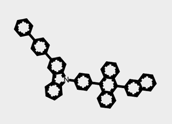 c1ccc(-c2ccc(-c3ccc4c(c3)c3ccccc3n4-c3ccc(-c4c5ccccc5c(-c5ccc6ccccc6c5)c5ccccc45)cc3)cc2)cc1